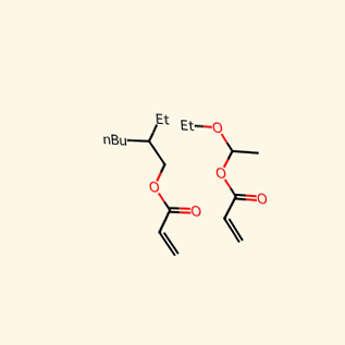 C=CC(=O)OC(C)OCC.C=CC(=O)OCC(CC)CCCC